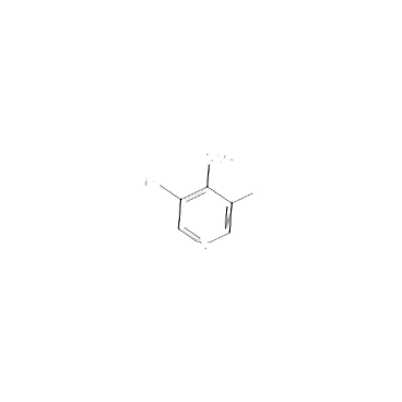 CNc1c(F)cncc1C(C)C